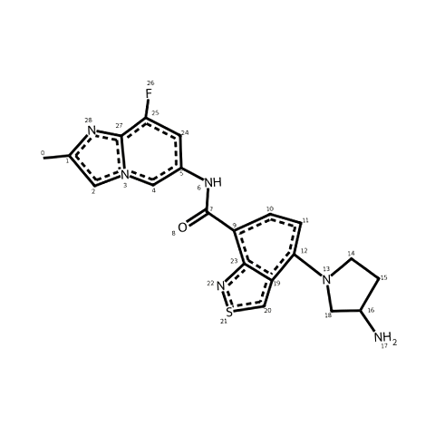 Cc1cn2cc(NC(=O)c3ccc(N4CCC(N)C4)c4csnc34)cc(F)c2n1